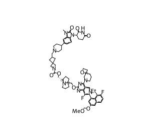 CCc1c(F)ccc2cc(OCOC)cc(-c3ncc4c(N5CCC[C@@]6(CCO6)C5)nc(OC[C@@]56CCCN5[C@H](COC(=O)N5CC7(CC(CN8CCC(c9ccc%10c(c9)n(C)c(=O)n%10C9CCC(=O)NC9=O)CC8)C7)C5)CC6)nc4c3F)c12